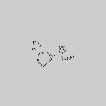 N[C@H](C(=O)O)c1cccc(OC(F)(F)F)c1